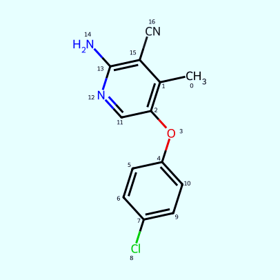 Cc1c(Oc2ccc(Cl)cc2)cnc(N)c1C#N